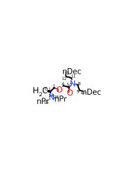 C=C(COCC(=O)N(CCCCCCCCCCCC)CCCCCCCCCCCC)N(CCC)CCC